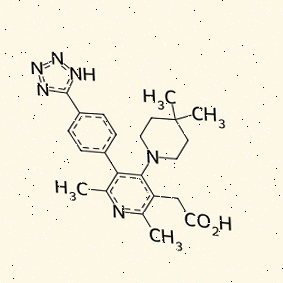 Cc1nc(C)c(-c2ccc(-c3nnn[nH]3)cc2)c(N2CCC(C)(C)CC2)c1CC(=O)O